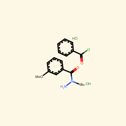 COc1cccc(C(=O)N(N)C(C)(C)C)c1.Cl.Cl.O=C(Cl)c1ccccc1